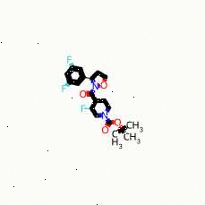 CC(C)(C)OC(=O)N1CCC(C(=O)N2OCC[C@H]2c2cc(F)cc(F)c2)[C@@H](F)C1